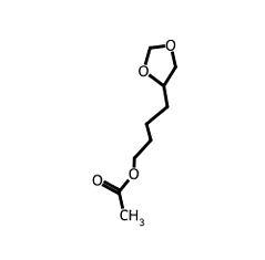 CC(=O)OCCCCC1COCO1